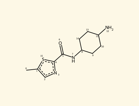 Cc1cnc(C(=O)NC2CCC(N)CC2)s1